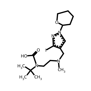 CN(CCN(C(=O)O)C(C)(C)C)Cc1cn(C2CCCCO2)nc1I